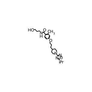 Cc1cc(OCCCC2CCN(c3noc(C(C)C)n3)CC2)ccc1C(=O)NCCCO